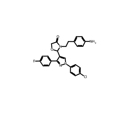 Nc1ccc(CCN2C(=O)COC2c2cn(-c3ccc(Cl)cc3)nc2-c2ccc(F)cc2)cc1